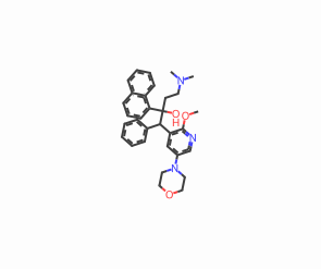 COc1ncc(N2CCOCC2)cc1C(c1ccccc1)C(O)(CCN(C)C)c1cccc2ccccc12